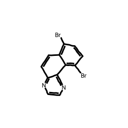 Brc1ccc(Br)c2c1ccc1nccnc12